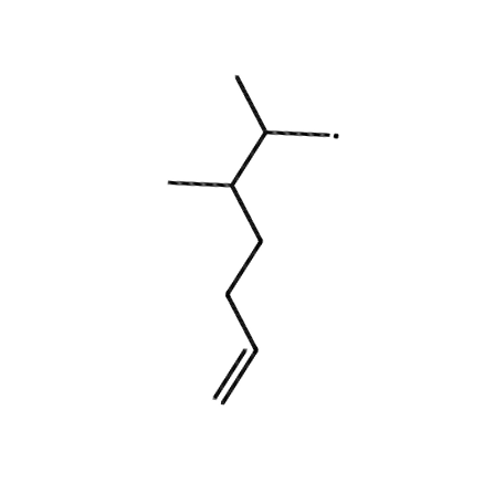 [CH2]C(C)C(C)CCC=C